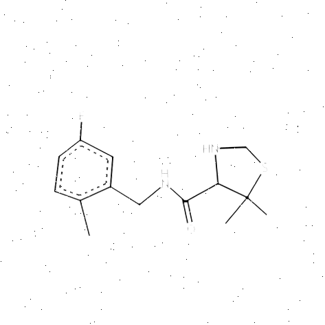 Cc1ccc(F)cc1CNC(=O)C1NCSC1(C)C